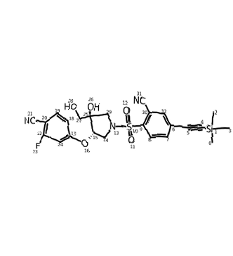 C[Si](C)(C)C#Cc1ccc(S(=O)(=O)N2C[C@H](Oc3ccc(C#N)c(F)c3)[C@](O)(CO)C2)c(C#N)c1